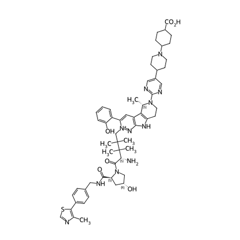 Cc1ncsc1-c1ccc(CNC(=O)[C@@H]2C[C@@H](O)CN2C(=O)[C@@H](N)C(C)(C)C(C)(C)C[n+]2nc3[nH]c4c(c3cc2-c2ccccc2O)[C@H](C)N(c2ncc(C3CCN(C5CCC(C(=O)O)CC5)CC3)cn2)CC4)cc1